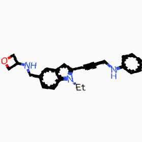 CCn1c(C#CCNc2ccccc2)cc2cc(CNC3COC3)ccc21